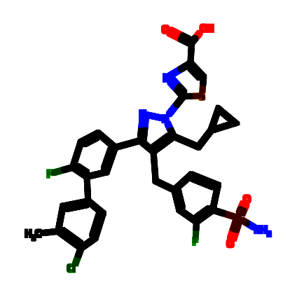 Cc1cc(-c2cc(-c3nn(-c4nc(C(=O)O)cs4)c(CC4CC4)c3Cc3ccc(S(N)(=O)=O)c(F)c3)ccc2F)ccc1Cl